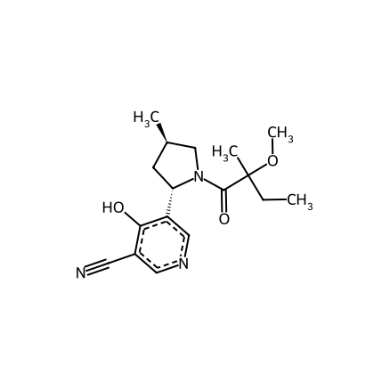 CCC(C)(OC)C(=O)N1C[C@H](C)C[C@H]1c1cncc(C#N)c1O